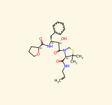 C=CCNC(=O)[C@H]1N(C(=O)[C@@H](O)[C@H](Cc2ccccc2)NC(=O)[C@@H]2CCCO2)CSC1(C)C